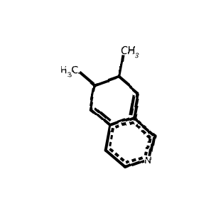 CC1C=c2ccncc2=CC1C